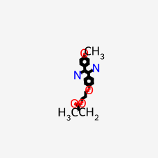 C=C(C)C(=O)OCCCOc1ccc(/C(C#N)=C(\C#N)c2ccc(OC)cc2)cc1